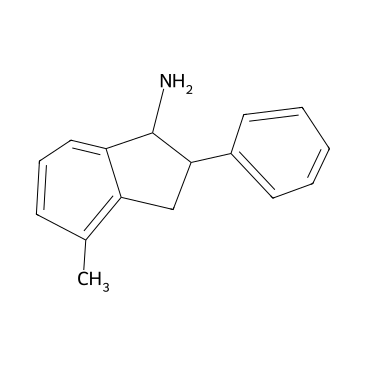 Cc1cccc2c1CC(c1ccccc1)C2N